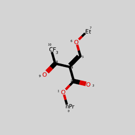 CCCOC(=O)C(=COCC)C(=O)C(F)(F)F